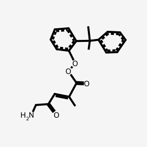 CC(=CC(=O)CN)C(=O)OOc1ccccc1C(C)(C)c1ccccc1